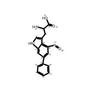 NC(Cc1c[nH]c2cc(-c3ccccc3)cc(N=O)c12)C(=O)O